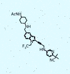 CC(=O)NC1CCC(NCc2ccc3c(c2)cc(C#CCNc2ccc(C(C)(C)C#N)nc2)n3CC(F)(F)F)CC1